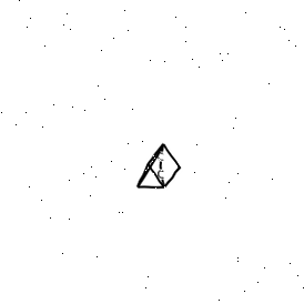 C1CC23CC14C2C43